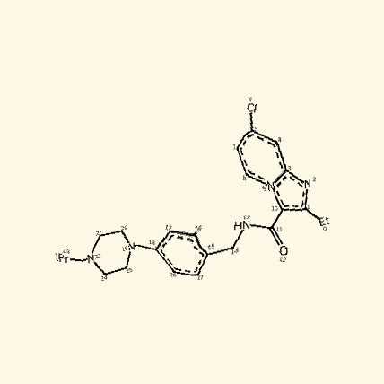 CCc1nc2cc(Cl)ccn2c1C(=O)NCc1ccc(N2CCN(C(C)C)CC2)cc1